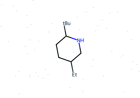 CCC1CCC(C(C)(C)C)NC1